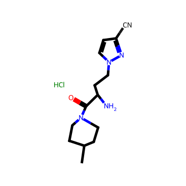 CC1CCN(C(=O)C(N)CCn2ccc(C#N)n2)CC1.Cl